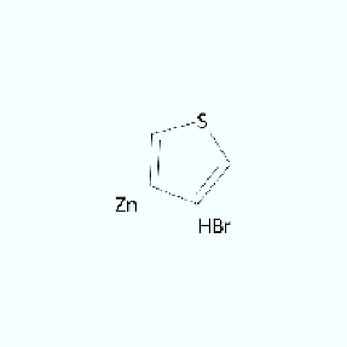 Br.[Zn].c1ccsc1